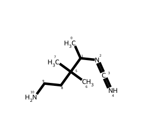 CC(N=C=N)C(C)(C)CCN